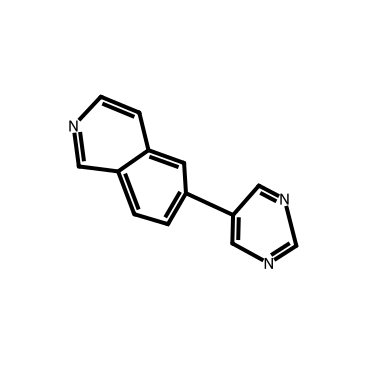 c1cc2cc(-c3cncnc3)ccc2cn1